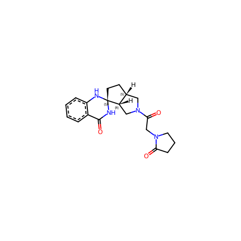 O=C1N[C@]2(CC[C@@H]3CN(C(=O)CN4CCCC4=O)C[C@@H]32)Nc2ccccc21